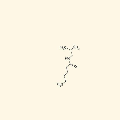 CC(C)CNC(=O)CCCCN